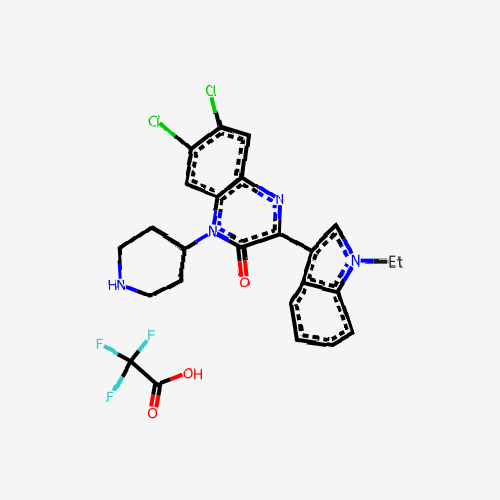 CCn1cc(-c2nc3cc(Cl)c(Cl)cc3n(C3CCNCC3)c2=O)c2ccccc21.O=C(O)C(F)(F)F